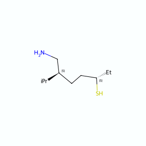 CC[C@H](S)CC[C@H](CN)C(C)C